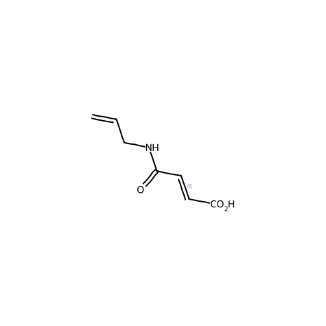 C=CCNC(=O)/C=C/C(=O)O